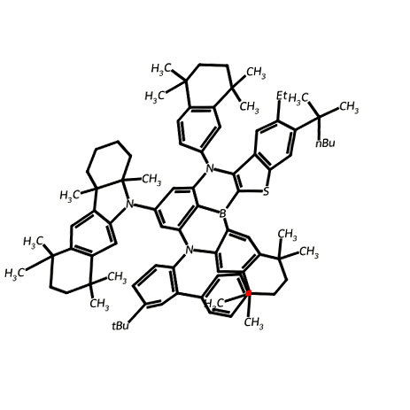 CCCCC(C)(C)c1cc2sc3c(c2cc1CC)N(c1ccc2c(c1)C(C)(C)CCC2(C)C)c1cc(N2c4cc5c(cc4C4(C)CCCCC24C)C(C)(C)CCC5(C)C)cc2c1B3c1cc3c(cc1N2c1ccc(C(C)(C)C)cc1-c1ccccc1)C(C)(C)CCC3(C)C